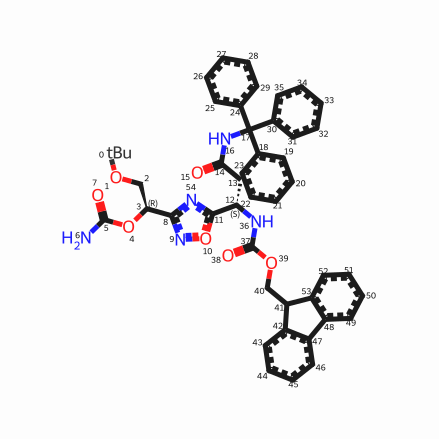 CC(C)(C)OC[C@H](OC(N)=O)c1noc([C@H](CC(=O)NC(c2ccccc2)(c2ccccc2)c2ccccc2)NC(=O)OCC2c3ccccc3-c3ccccc32)n1